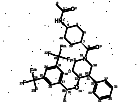 CC(=O)N[C@H]1CC[C@H](C(=O)N2CC[C@H](O[C@H](C)c3cc(C(F)(F)F)cc(C(F)(F)F)c3)[C@H](c3ccccc3)C2)CC1